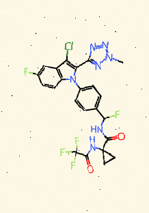 Cn1nnc(-c2c(Cl)c3cc(F)ccc3n2-c2ccc(C(F)NC(=O)C3(NC(=O)C(F)(F)F)CC3)cc2)n1